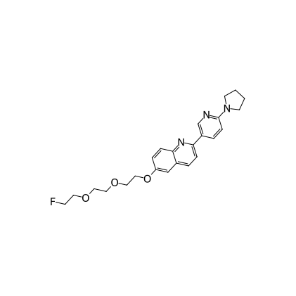 FCCOCCOCCOc1ccc2nc(-c3ccc(N4CCCC4)nc3)ccc2c1